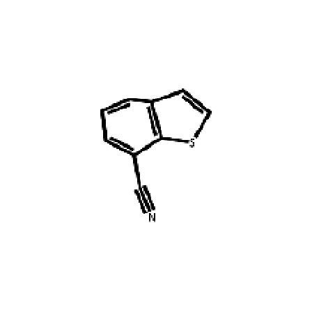 N#Cc1cc[c]c2ccsc12